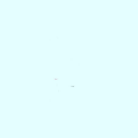 CC12CCC(=O)C=C1CC[C@@H]1[C@@H]2[C@@H](O)CC2(C)[C@H]1CC[C@]2(OC(=O)CCS(=O)(=O)c1ccccc1)C(=O)CO